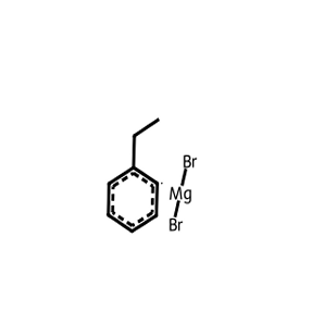 CCc1[c]cccc1.[Br][Mg][Br]